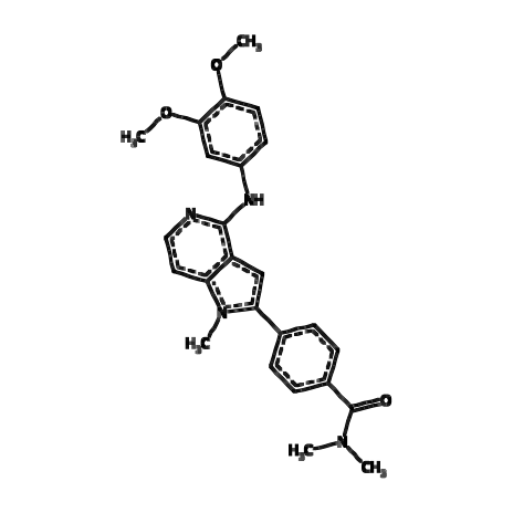 COc1ccc(Nc2nccc3c2cc(-c2ccc(C(=O)N(C)C)cc2)n3C)cc1OC